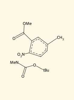 CNC(=O)OC(C)(C)C.COC(=O)c1cc(C)ccc1[N+](=O)[O-]